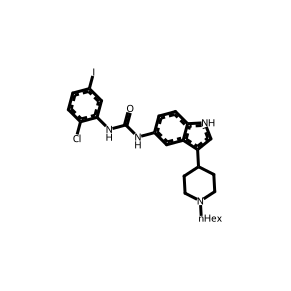 CCCCCCN1CCC(c2c[nH]c3ccc(NC(=O)Nc4cc(I)ccc4Cl)cc23)CC1